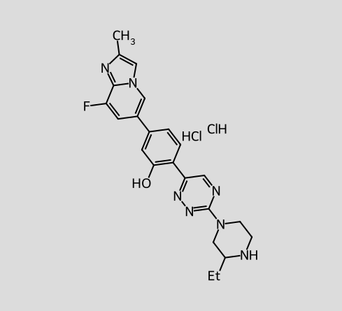 CCC1CN(c2ncc(-c3ccc(-c4cc(F)c5nc(C)cn5c4)cc3O)nn2)CCN1.Cl.Cl